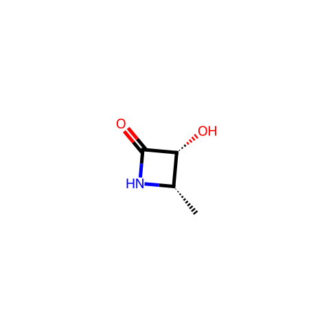 C[C@@H]1NC(=O)[C@@H]1O